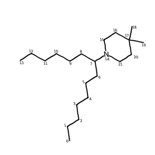 CCCCCCCC(CCCCCC)N1CCC(C)(C)CC1